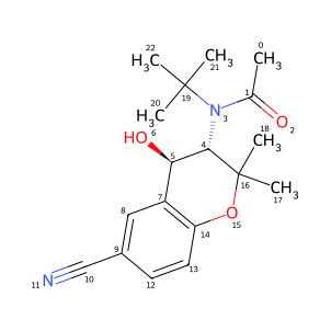 CC(=O)N([C@H]1[C@H](O)c2cc(C#N)ccc2OC1(C)C)C(C)(C)C